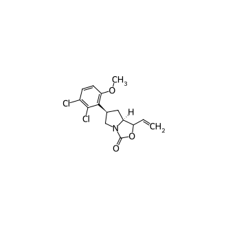 C=CC1OC(=O)N2C[C@@H](c3c(OC)ccc(Cl)c3Cl)C[C@@H]12